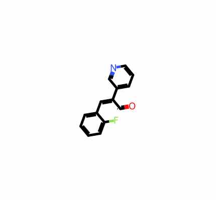 O=[C]C(=Cc1ccccc1F)c1cccnc1